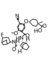 COc1cc(C#N)c(O[C@H]2CC[C@@](C)(C(=O)O)CC2)cc1C(=O)N[C@@H]1[C@H]2CC[C@H](C2)[C@@H]1C(=O)NC1CC(F)C2CC1C2